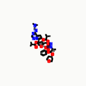 CC(C)C(=O)O[C@@H]1[C@@](C)(CO[P@@](=O)(N[C@@H](C)C(=O)OC2CCOCC2)Oc2ccccc2)OC[C@]1(OC(=O)C(C)C)c1ccc2c(/N=C/N(C)C)ncnn12